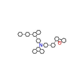 c1ccc(-c2ccc(-c3cc(-c4ccc(N(c5ccc(-c6cccc(-c7cccc8c7oc7ccccc78)c6)cc5)c5cc6ccccc6c6ccccc56)cc4)c4ccccc4c3)cc2)cc1